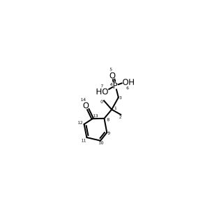 CC(C)(CP(=O)(O)O)C1C=CC=CC1=O